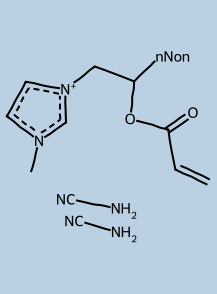 C=CC(=O)OC(CCCCCCCCC)C[n+]1ccn(C)c1.N#CN.N#CN